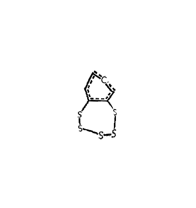 c1ccc2c(c1)SSSSS2